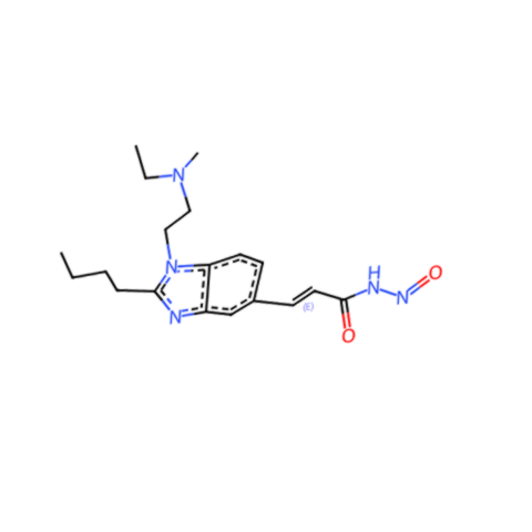 CCCCc1nc2cc(/C=C/C(=O)NN=O)ccc2n1CCN(C)CC